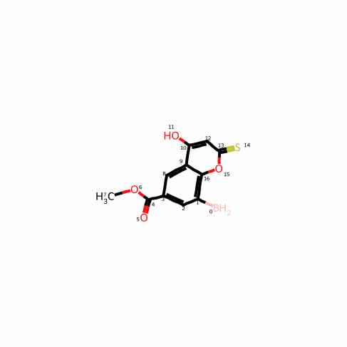 Bc1cc(C(=O)OC)cc2c(O)cc(=S)oc12